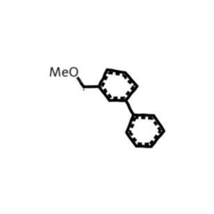 CO[CH]c1cccc(-c2ccccc2)c1